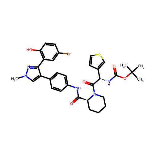 Cn1cc(-c2ccc(NC(=O)[C@@H]3CCCCN3C(=O)[C@@H](NC(=O)OC(C)(C)C)c3ccsc3)cc2)c(-c2cc(Br)ccc2O)n1